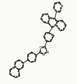 c1cncc(-c2c3ccccc3c(-c3ccc(-c4nnc(-c5ccc(-c6ccc7ccccc7c6)cc5)o4)cc3)c3ccccc23)c1